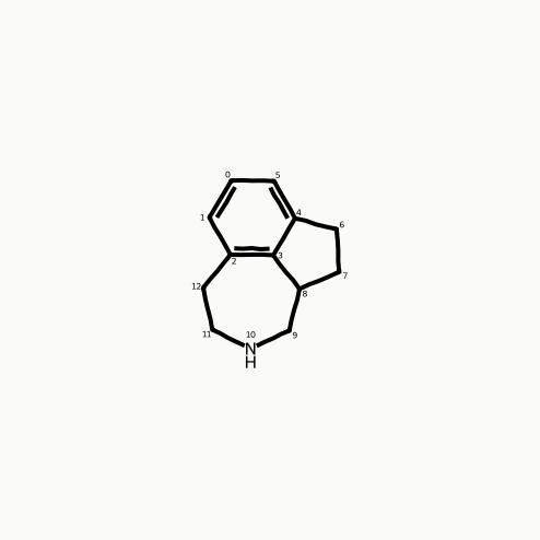 c1cc2c3c(c1)CCC3CNCC2